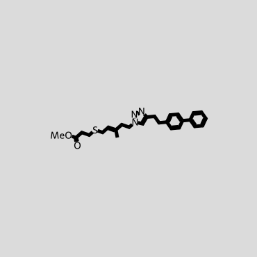 COC(=O)CCSC/C=C(\C)CCn1cc(CCc2ccc(-c3ccccc3)cc2)nn1